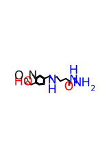 NNC(=O)CCCNCc1ccc(CO)c([N+](=O)[O-])c1